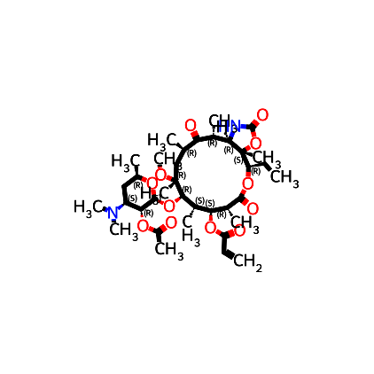 C=CC(=O)O[C@H]1[C@H](C)[C@@H](O[C@@H]2O[C@H](C)C[C@H](N(C)C)[C@H]2OC(C)=O)[C@](C)(OC)C[C@@H](C)C(=O)[C@H](C)[C@H]2NC(=O)O[C@]2(C)[C@@H](CC)OC(=O)[C@@H]1C